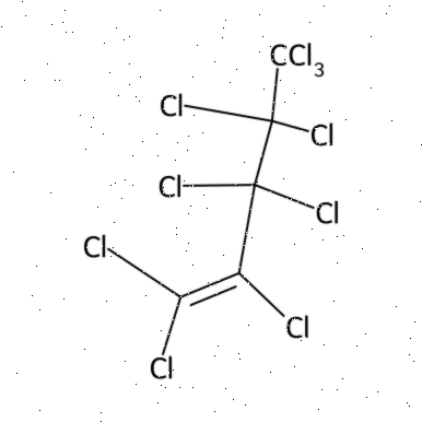 ClC(Cl)=C(Cl)C(Cl)(Cl)C(Cl)(Cl)C(Cl)(Cl)Cl